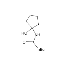 CCCCC(=O)NC1(O)CCCC1